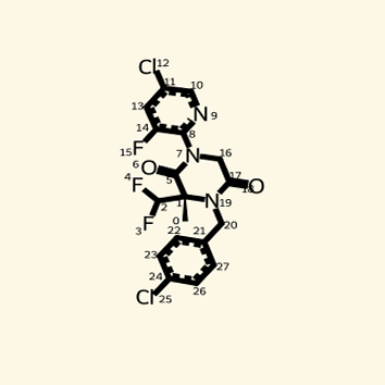 C[C@@]1(C(F)F)C(=O)N(c2ncc(Cl)cc2F)CC(=O)N1Cc1ccc(Cl)cc1